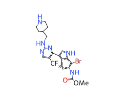 COC(=O)Nc1ccc2c(-c3nc(NCC4CCNCC4)ncc3C(F)(F)F)c[nH]c2c1Br